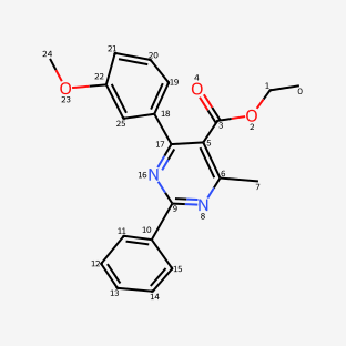 CCOC(=O)c1c(C)nc(-c2ccccc2)nc1-c1cccc(OC)c1